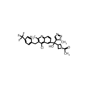 CC(=O)N1CC(C(O)(c2ccc3nc(C)c(Cc4ccc(C(F)(F)F)cc4)c(Cl)c3c2)c2cnnn2C)C1